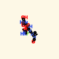 CCOc1nc2[nH]cc(F)c2cc1Oc1cc(N2CCC3(CC2)CN(C2CCN(Cc4ccc(OC)cc4)CC2c2ccccc2C(C)C)C3)ccc1C(=O)NS(=O)(=O)c1cnc(NCC2CCC(C)(O)CC2)c([N+](=O)[O-])c1